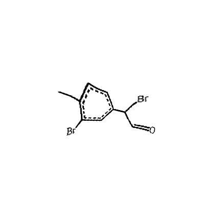 Cc1ccc(C(Br)C=O)cc1Br